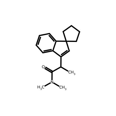 CC(C(=O)N(C)C)C1=CC2(CCCC2)c2ccccc21